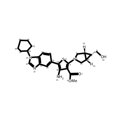 COC(=O)c1c(N2C[C@@H]3[C@H](CO)[C@@H]3C2)sc(-c2ccc3c(c2)ncn3C2CCCCC2)c1N